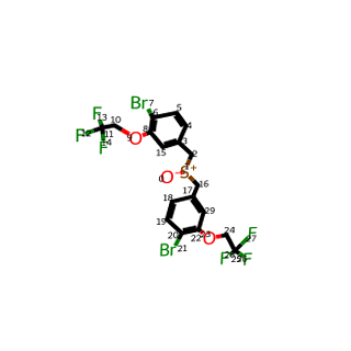 [O-][S+](Cc1ccc(Br)c(OCC(F)(F)F)c1)Cc1ccc(Br)c(OCC(F)(F)F)c1